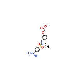 COC(=O)COc1ccc(C[C@H](C)NS(=O)(=O)c2ccc(C(=N)N)cc2)cc1